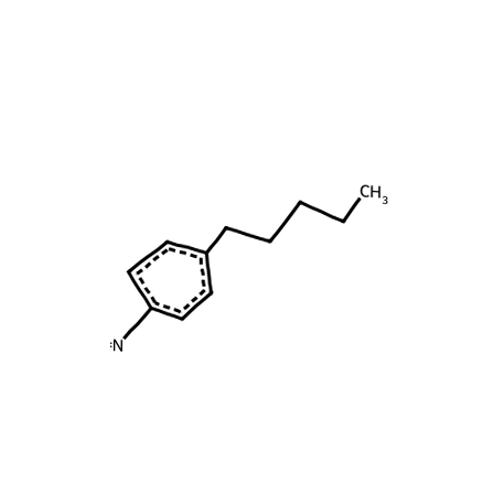 CCCCCc1ccc([N])cc1